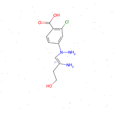 N/C(=C\N(N)c1ccc(C(=O)O)c(Cl)c1)CCO